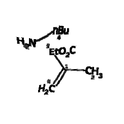 C=C(C)C(=O)OCC.CCCCN